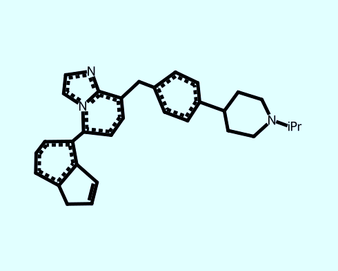 CC(C)N1CCC(c2ccc(Cc3ccc(-c4cccc5c4C=CC5)n4ccnc34)cc2)CC1